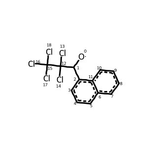 [O]C(c1cccc2ccccc12)C(Cl)(Cl)C(Cl)(Cl)Cl